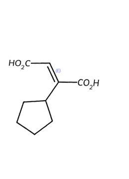 O=C(O)/C=C(/C(=O)O)C1CCCC1